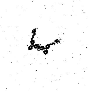 C[n+]1ccn(CCCCc2ccc(N(c3ccccc3)c3ccc(S(=O)(=O)c4ccc(N(c5ccccc5)c5ccc(CCCCn6cc[n+](C)c6)cc5)cc4)cc3)cc2)c1